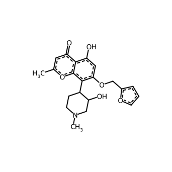 Cc1cc(=O)c2c(O)cc(OCc3ccco3)c(C3CCN(C)CC3O)c2o1